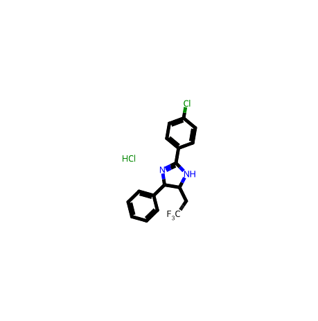 Cl.FC(F)(F)CC1NC(c2ccc(Cl)cc2)=NC1c1ccccc1